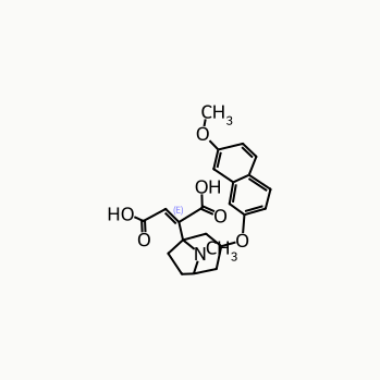 COc1ccc2ccc(OC3CC4CCC(/C(=C\C(=O)O)C(=O)O)(C3)N4C)cc2c1